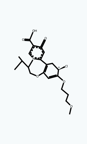 COCCCOC1=CC2=C(C[C@H]1Cl)c1cc(=O)c(C(=O)O)cn1C(C(C)C)CO2